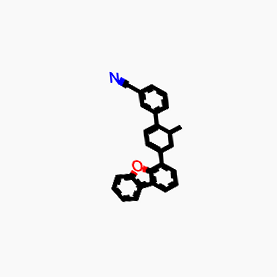 CC1CC(c2cccc3c2oc2ccccc23)=CC=C1c1cccc(C#N)c1